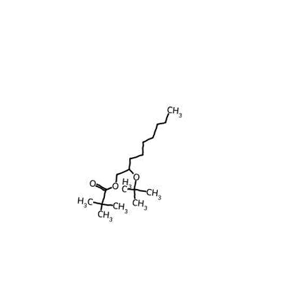 CCCCCCCC(COC(=O)C(C)(C)C)OC(C)(C)C